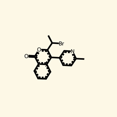 Cc1ccc(-c2c(C(C)Br)oc(=O)c3ccccc23)cn1